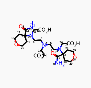 NC(=O)C1(N(CCN(CCN(CC(=O)O)C2(C(N)=O)CCOCC2)CC(=O)O)CC(=O)O)CCOCC1